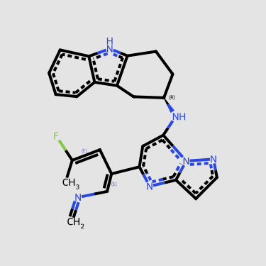 C=N/C=C(\C=C(/C)F)c1cc(N[C@@H]2CCc3[nH]c4ccccc4c3C2)n2nccc2n1